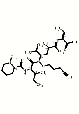 C#CCCCON(C(=O)[C@@H](NC(=O)[C@H]1CCCCN1C)[C@@H](C)CC)[C@H](C[C@@H](O)/C(C)=N/C(=C\C)C(=O)O)C(C)C